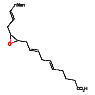 CCCCCCCCCC=CCC1OC1CC=CCC=CCCCC(=O)O